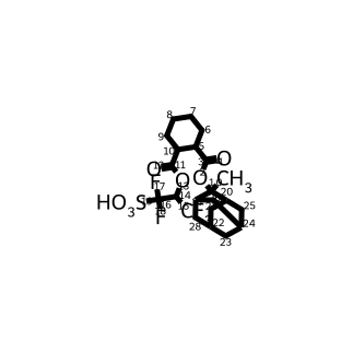 CC1(OC(=O)C2CCCCC2C(=O)OC(C(F)(F)F)C(F)(F)S(=O)(=O)O)C2CC3CC(C2)CC1C3